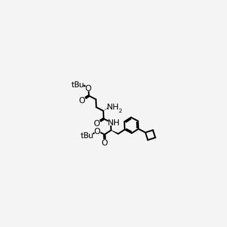 CC(C)(C)OC(=O)CC[C@H](N)C(=O)N[C@@H](Cc1cccc(C2CCC2)c1)C(=O)OC(C)(C)C